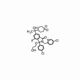 CC(O)(c1cc(F)c2c(c1)C(=O)N(Cc1ccc(Cl)cn1)[C@@]2(OCCO)c1ccc(Cl)cc1)C1CCS(=O)(=O)CC1